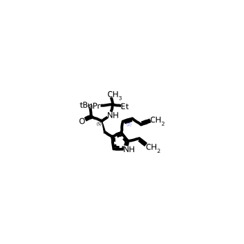 C=C/C=C\c1c(C[C@H](NC(C)(CC)CCC)C(=O)C(C)(C)C)c[nH]c1C=C